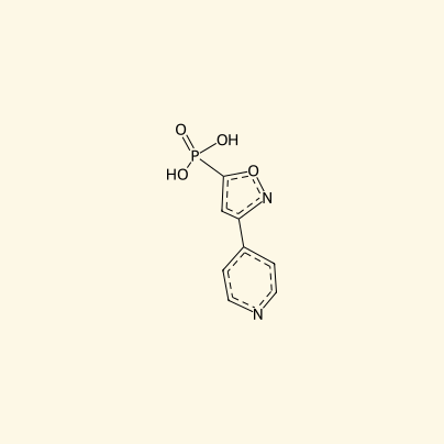 O=P(O)(O)c1cc(-c2ccncc2)no1